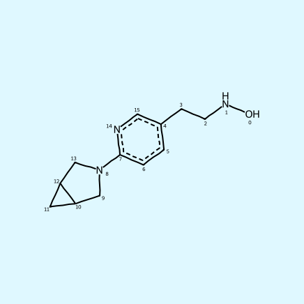 ONCCc1ccc(N2CC3CC3C2)nc1